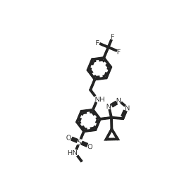 CNS(=O)(=O)c1ccc(NCc2ccc(C(F)(F)F)cc2)c(C2(C3CC3)C=NN=N2)c1